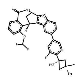 C[C@]1(C#N)C[C@](O)(c2ncc(-c3ccc4nc5n(c4c3)[C@H]3CC5NC(=O)c4cccc(OC(F)F)c43)cc2F)C1